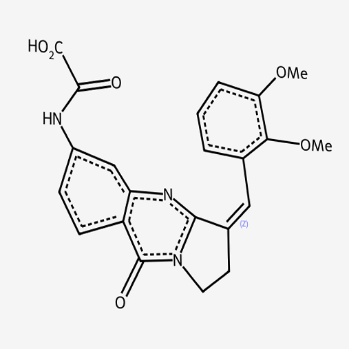 COc1cccc(/C=C2/CCn3c2nc2cc(NC(=O)C(=O)O)ccc2c3=O)c1OC